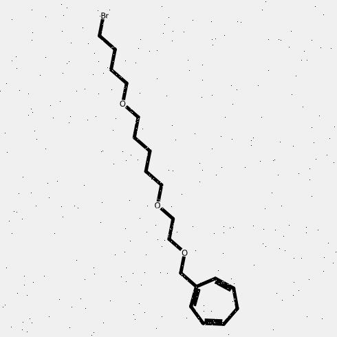 BrCCCCOCCCCCOCCOCC1=CC=CCC=C1